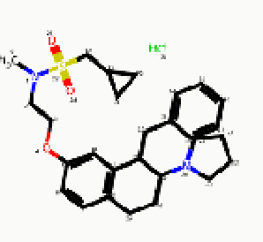 CN(CCOc1ccc2c(c1)C(Cc1ccccc1)C(N1CCCC1)CC2)S(=O)(=O)CC1CC1.Cl